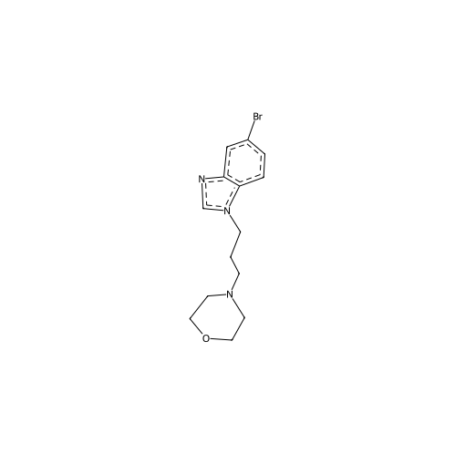 Brc1ccc2c(c1)ncn2CCCN1CCOCC1